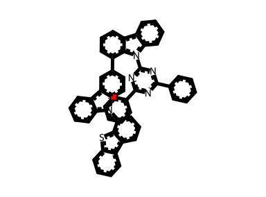 c1ccc(-c2nc(-c3ccccc3)nc(-n3c4ccccc4c4cccc(-c5ccc6c(c5)c5ccccc5n6-c5cccc6c5sc5ccccc56)c43)n2)cc1